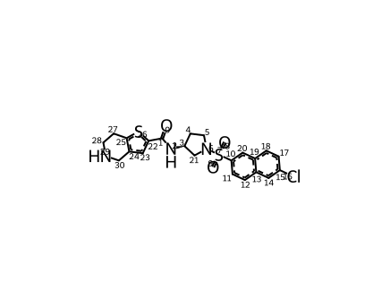 O=C(N[C@H]1CCN(S(=O)(=O)c2ccc3cc(Cl)ccc3c2)C1)c1cc2c(s1)CCNC2